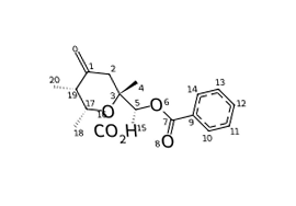 C=C1C[C@](C)([C@H](OC(=O)c2ccccc2)C(=O)O)O[C@H](C)[C@@H]1C